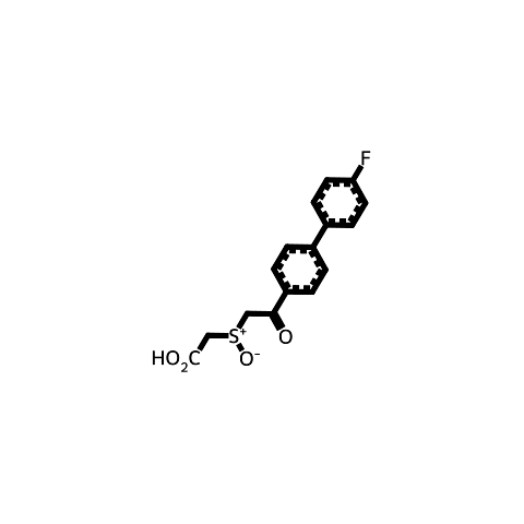 O=C(O)C[S+]([O-])CC(=O)c1ccc(-c2ccc(F)cc2)cc1